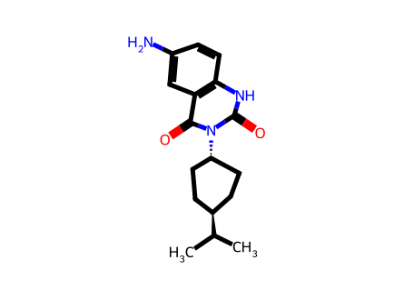 CC(C)[C@H]1CC[C@H](n2c(=O)[nH]c3ccc(N)cc3c2=O)CC1